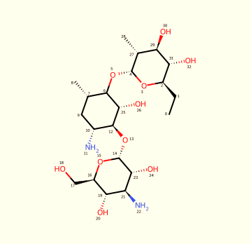 CC[C@H]1O[C@H](OC2[C@@H](C)C[C@@H](N)[C@H](O[C@H]3O[C@H](CO)[C@@H](O)[C@H](N)[C@H]3O)[C@H]2O)[C@H](C)[C@@H](O)[C@@H]1O